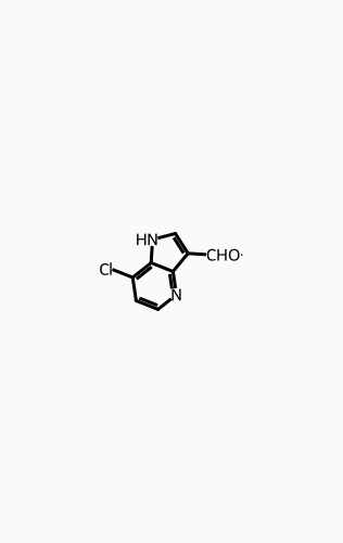 O=[C]c1c[nH]c2c(Cl)ccnc12